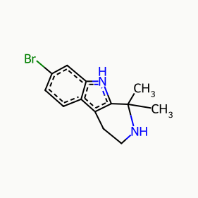 CC1(C)NCCc2c1[nH]c1cc(Br)ccc21